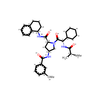 CN[C@@H](C)C(=O)N[C@H](C(=O)N1C[C@@H](NC(=O)c2cccc(OC)c2)C[C@H]1C(=O)N[C@@H]1CCCc2ccccc21)C1CCCCC1